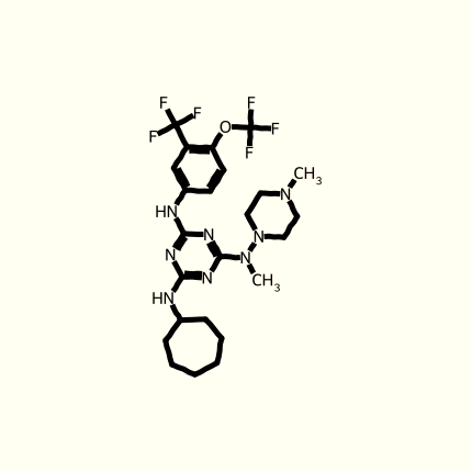 CN1CCN(N(C)c2nc(Nc3ccc(OC(F)(F)F)c(C(F)(F)F)c3)nc(NC3CCCCCC3)n2)CC1